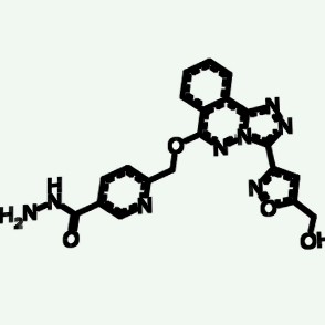 NNC(=O)c1ccc(COc2nn3c(-c4cc(CO)on4)nnc3c3ccccc23)nc1